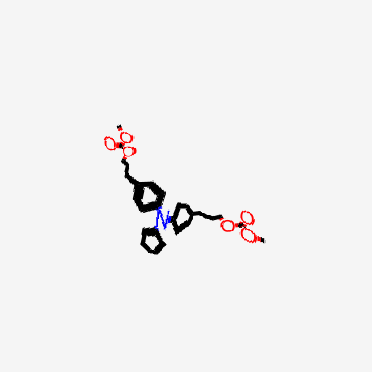 COC(=O)OCCCc1ccc(N(c2ccccc2)c2ccc(CCCOC(=O)OC)cc2)cc1